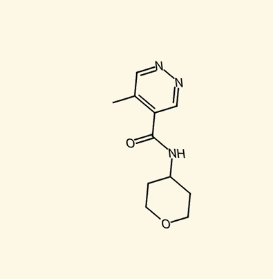 Cc1cnncc1C(=O)NC1CCOCC1